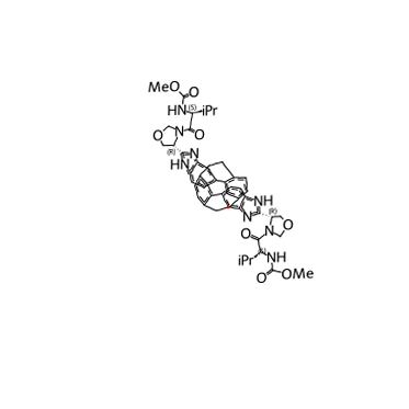 COC(=O)N[C@H](C(=O)N1COC[C@H]1c1nc2cc(-c3cc4ccc3CCc3ccc(c(-c5ccc6[nH]c([C@@H]7COCN7C(=O)[C@@H](NC(=O)OC)C(C)C)nc6c5)c3)CC4)ccc2[nH]1)C(C)C